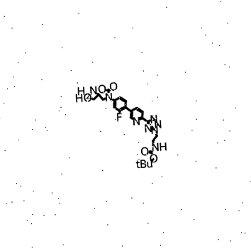 CC(C)(C)OC(=O)NCCn1nnc(-c2ccc(-c3ccc(N4C[C@](N)(CO)OC4=O)cc3F)cn2)n1